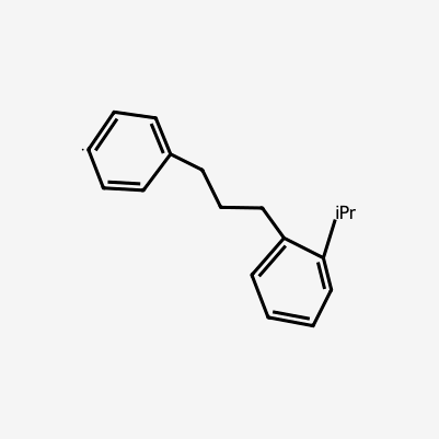 CC(C)c1ccccc1CCCc1cc[c]cc1